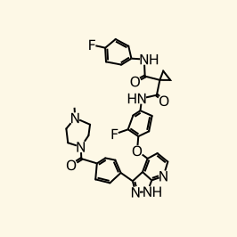 CN1CCN(C(=O)c2ccc(-c3n[nH]c4nccc(Oc5ccc(NC(=O)C6(C(=O)Nc7ccc(F)cc7)CC6)cc5F)c34)cc2)CC1